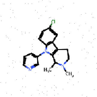 CC1c2c(c3cc(Cl)ccc3n2-c2cccnc2)CCN1C